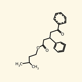 CC(C)CCOC(=O)CC(CC(=O)c1ccccc1)C1=CC=C=C=C1